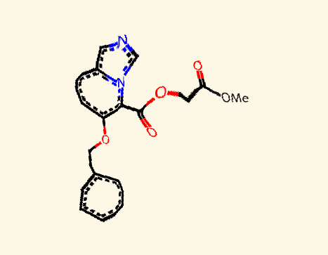 COC(=O)COC(=O)c1c(OCc2ccccc2)ccc2cncn12